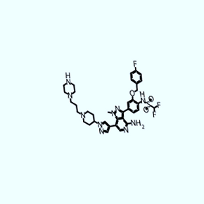 C[C@H](Oc1cc(-c2nn(C)c3c(-c4cnn(C5CCN(CCCN6CCNCC6)CC5)c4)cnc(N)c23)ccc1NS(=O)(=O)C(F)F)c1ccc(F)cc1